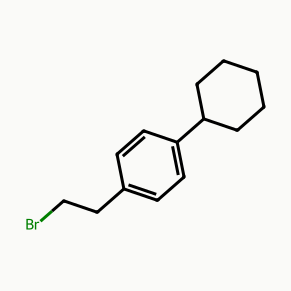 BrCCc1ccc(C2CCCCC2)cc1